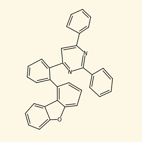 c1ccc(-c2cc(-c3ccccc3-c3cccc4oc5ccccc5c34)nc(-c3ccccc3)n2)cc1